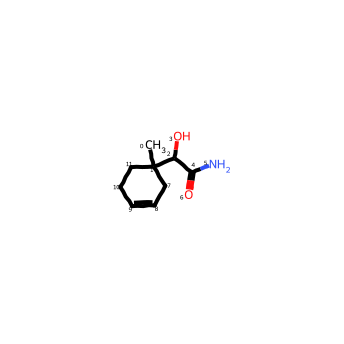 CC1(C(O)C(N)=O)CC=CCC1